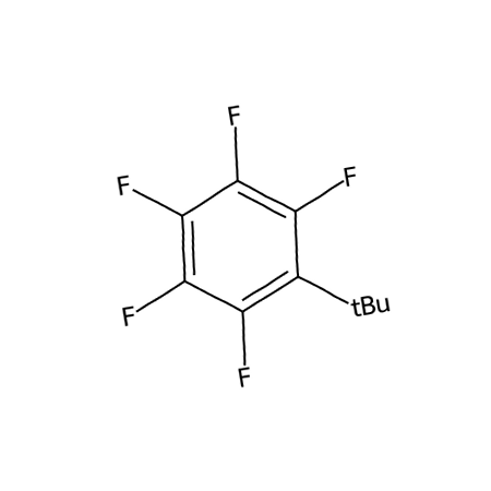 CC(C)(C)c1c(F)c(F)c(F)c(F)c1F